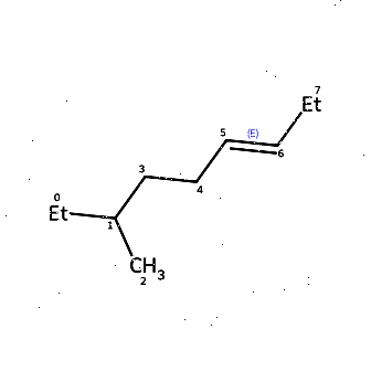 [CH2]CC(C)CC/C=C/CC